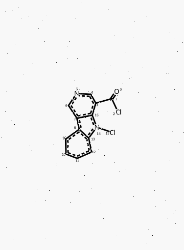 O=C(Cl)c1cncc2c3ccccc3n(Cl)c12